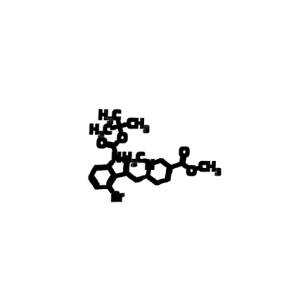 COC(=O)C1=CC[C@@H](Cc2cn(C(=O)OC(C)(C)C)c3cccc(Br)c23)N(C)C1